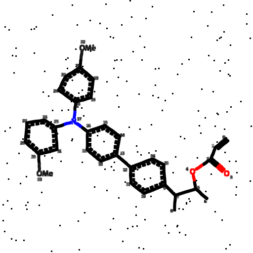 C=CC(=O)OC(C)C(C)c1ccc(-c2ccc(N(c3ccc(OC)cc3)c3cccc(OC)c3)cc2)cc1